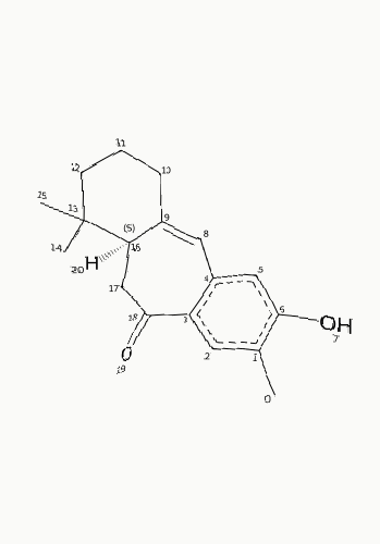 Cc1cc2c(cc1O)C=C1CCCC(C)(C)[C@@H]1CC2=O